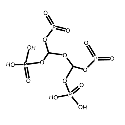 O=P(=O)OC(OC(OP(=O)=O)OP(=O)(O)O)OP(=O)(O)O